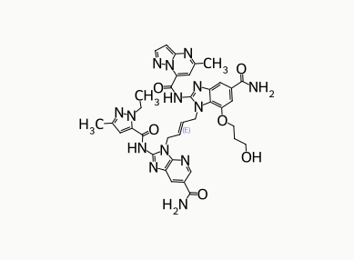 CCn1nc(C)cc1C(=O)Nc1nc2cc(C(N)=O)cnc2n1C/C=C/Cn1c(NC(=O)c2cc(C)nc3ccnn23)nc2cc(C(N)=O)cc(OCCCO)c21